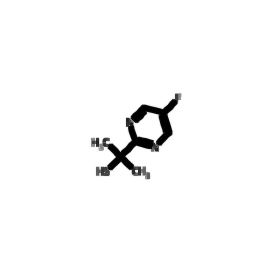 CC(C)(S)c1ncc(F)cn1